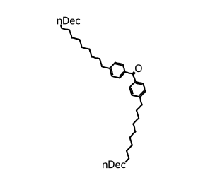 CCCCCCCCCCCCCCCCCCCc1ccc(C(=O)c2ccc(CCCCCCCCCCCCCCCCCCC)cc2)cc1